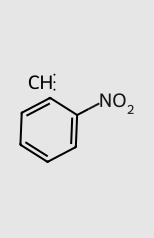 O=[N+]([O-])c1ccccc1.[CH]